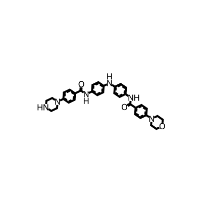 O=C(Nc1ccc(Nc2ccc(NC(=O)c3ccc(N4CCOCC4)cc3)cc2)cc1)c1ccc(N2CCNCC2)cc1